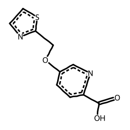 O=C(O)c1ccc(OCc2nccs2)cn1